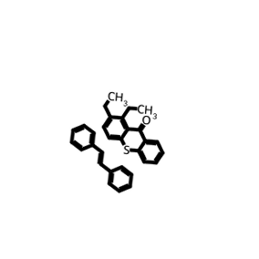 C(=Cc1ccccc1)c1ccccc1.CCc1ccc2sc3ccccc3c(=O)c2c1CC